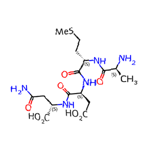 CSCC[C@H](NC(=O)[C@H](C)N)C(=O)N[C@@H](CC(=O)O)C(=O)N[C@@H](CC(N)=O)C(=O)O